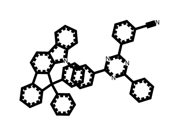 N#Cc1cccc(-c2nc(-c3ccccc3)nc(-c3cccc(-n4c5ccccc5c5ccc6c(c54)C(c4ccccc4)(c4ccccc4)c4ccccc4-6)c3)n2)c1